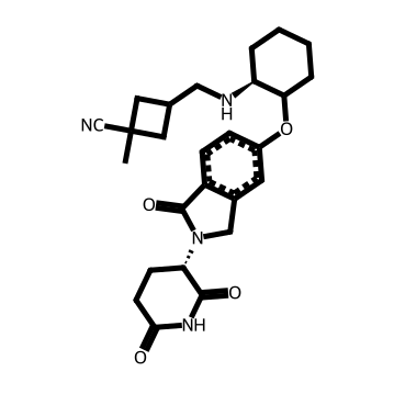 CC1(C#N)CC(CN[C@H]2CCCCC2Oc2ccc3c(c2)CN([C@H]2CCC(=O)NC2=O)C3=O)C1